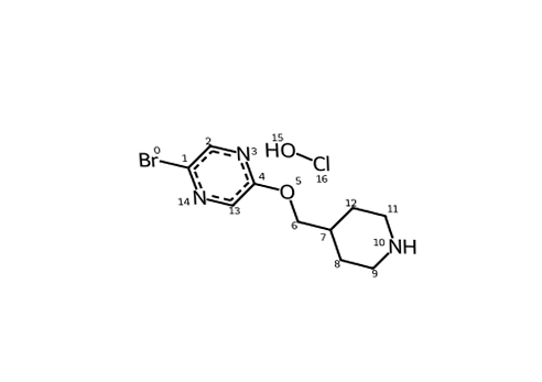 Brc1cnc(OCC2CCNCC2)cn1.OCl